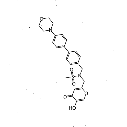 CS(=O)(=O)N(Cc1ccc(-c2ccc(N3CCOCC3)cc2)cc1)Cc1cc(=O)c(O)co1